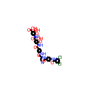 COc1c(NC(=O)c2ccc(NC(=O)c3ccc(NC(=O)C(CC#N)NC(=O)c4ccc(NC(=O)c5cc(Cl)cc(Cl)c5)cc4)cc3)c(OC)c2O)ccc(C(=O)O)c1O